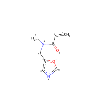 C=CC(=O)N(C)Cc1cnco1